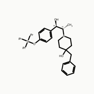 CC(C)[Si](Oc1ccc([C@@H](O)[C@H](C)N2CCC(O)(Cc3ccccc3)CC2)cc1)(C(C)C)C(C)C